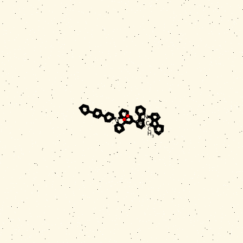 CC1(C)c2ccccc2-c2cccc(-n3c4ccccc4c4c(-c5cccc(-c6ccccc6N(c6ccccc6)c6ccc(-c7ccc(-c8ccccc8)cc7)cc6)c5)cccc43)c21